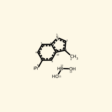 Cc1csc2ccc(C(C)C)cc12.OBO